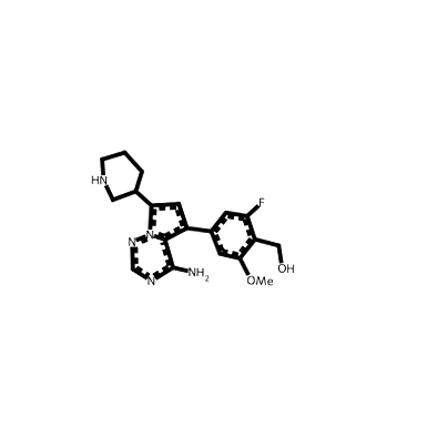 COc1cc(-c2cc(C3CCCNC3)n3ncnc(N)c23)cc(F)c1CO